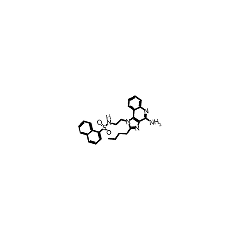 CCCCc1nc2c(N)nc3ccccc3c2n1CCNS(=O)(=O)c1cccc2ccccc12